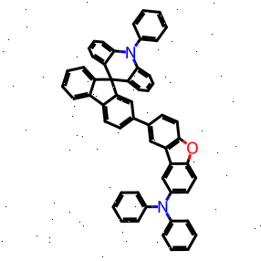 c1ccc(N(c2ccccc2)c2ccc3oc4ccc(-c5ccc6c(c5)C5(c7ccccc7-6)c6ccccc6N(c6ccccc6)c6ccccc65)cc4c3c2)cc1